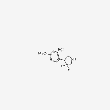 COc1ccc(C2CNCC2(F)F)cc1.Cl